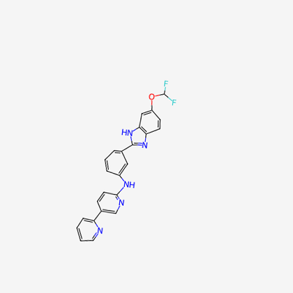 FC(F)Oc1ccc2nc(-c3cccc(Nc4ccc(-c5ccccn5)cn4)c3)[nH]c2c1